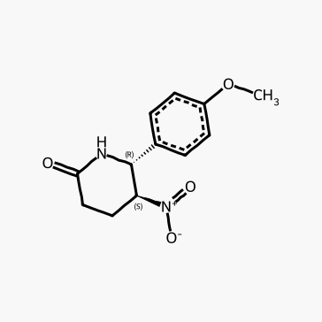 COc1ccc([C@H]2NC(=O)CC[C@@H]2[N+](=O)[O-])cc1